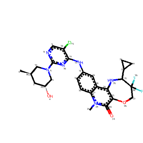 C[C@@H]1C[C@@H](O)CN(c2ncc(Cl)c(Nc3ccc4c(c3)c3c(c(=O)n4C)OCC(F)(F)C(C4CC4)N3)n2)C1